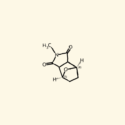 CN1C(=O)C2C(C1=O)[C@H]1CC[C@@H]2O1